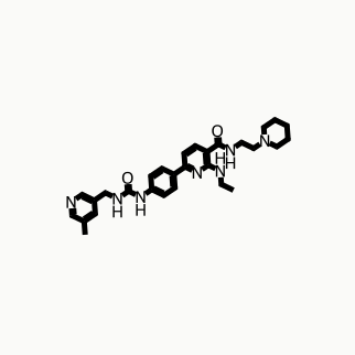 CCNc1nc(-c2ccc(NC(=O)NCc3cncc(C)c3)cc2)ccc1C(=O)NCCN1CCCCC1